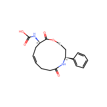 O=C(O)N[C@@H]1CC=CCCC(=O)N[C@H](c2ccccc2)CCOC1=O